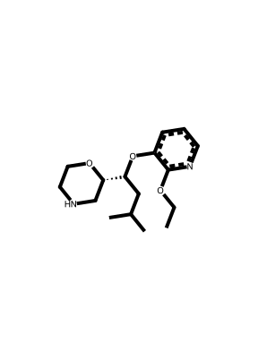 CCOc1ncccc1OC(CC(C)C)[C@@H]1CNCCO1